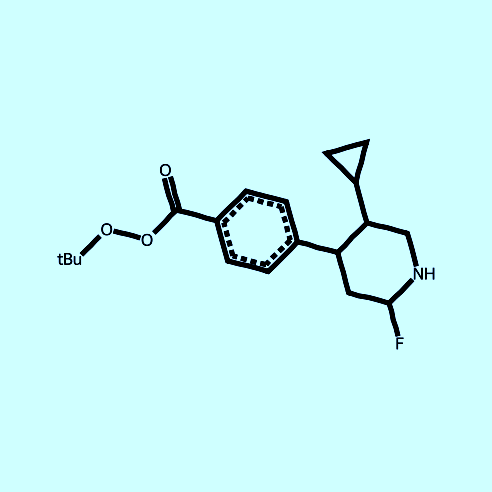 CC(C)(C)OOC(=O)c1ccc(C2CC(F)NCC2C2CC2)cc1